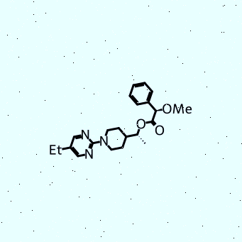 CCc1cnc(N2CCC([C@@H](C)OC(=O)[C@H](OC)c3ccccc3)CC2)nc1